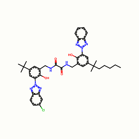 CCCCCC(C)(C)c1cc(CNC(=O)C(=O)NCc2cc(C(C)(C)C)cc(-n3nc4ccc(Cl)cc4n3)c2O)c(O)c(-n2nc3ccccc3n2)c1